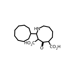 O=C(O)C1CCCCNC(C2CCCCCCCC2)C(C(=O)O)C1=O